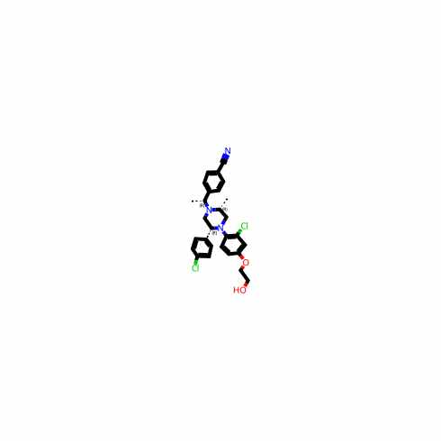 C[C@@H]1CN(c2ccc(OCCO)cc2Cl)[C@H](c2ccc(Cl)cc2)CN1[C@H](C)c1ccc(C#N)cc1